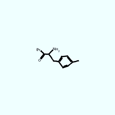 Cc1ccc(CC(N)C(=O)C(C)C)cc1